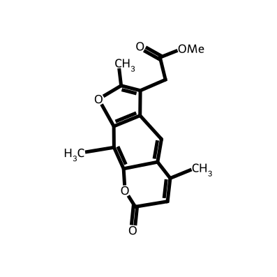 COC(=O)Cc1c(C)oc2c(C)c3oc(=O)cc(C)c3cc12